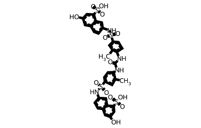 Cc1cc(S(=O)(=O)Nc2ccc3cc(O)cc(S(=O)(=O)O)c3c2)ccc1NC(=O)Nc1ccc(S(=O)(=O)Nc2ccc3cc(O)cc(S(=O)(=O)O)c3c2)cc1C